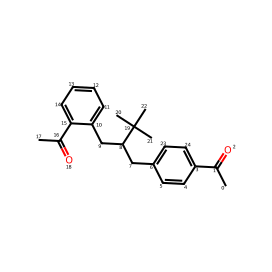 CC(=O)c1ccc(CC(Cc2ccccc2C(C)=O)C(C)(C)C)cc1